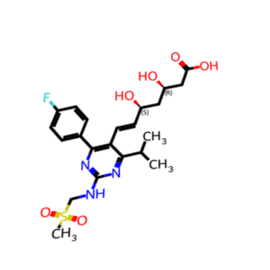 CC(C)c1nc(NCS(C)(=O)=O)nc(-c2ccc(F)cc2)c1C=C[C@@H](O)C[C@@H](O)CC(=O)O